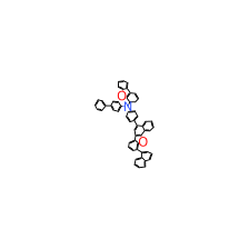 C1=Cc2c(oc3ccccc23)C(N(c2ccc(-c3ccccc3)cc2)c2ccc(-c3cc4c5cccc(-c6cccc7ccccc67)c5oc4c4ccccc34)cc2)C1